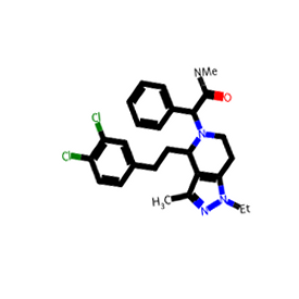 CCn1nc(C)c2c1CCN(C(C(=O)NC)c1ccccc1)C2CCc1ccc(Cl)c(Cl)c1